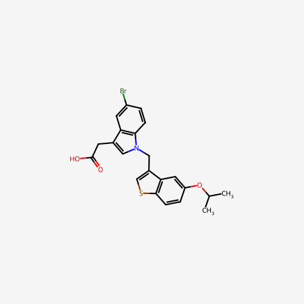 CC(C)Oc1ccc2scc(Cn3cc(CC(=O)O)c4cc(Br)ccc43)c2c1